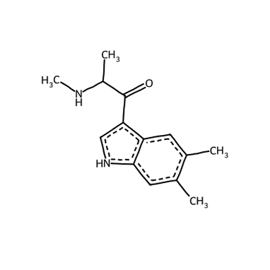 CNC(C)C(=O)c1c[nH]c2cc(C)c(C)cc12